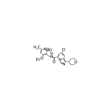 CCOc1cc(C)[nH]c(=O)c1CNC(=O)c1cc(Cl)cc2c(C3CCOCC3)ncn12